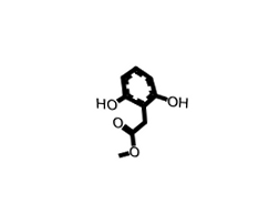 COC(=O)Cc1c(O)cccc1O